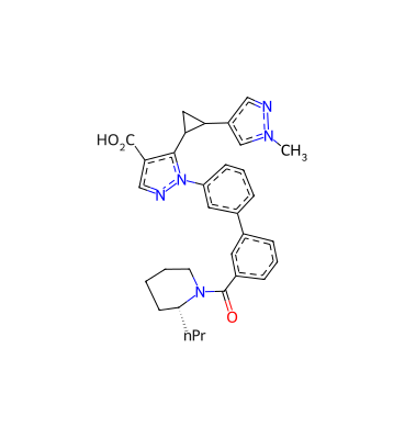 CCC[C@@H]1CCCCN1C(=O)c1cccc(-c2cccc(-n3ncc(C(=O)O)c3C3CC3c3cnn(C)c3)c2)c1